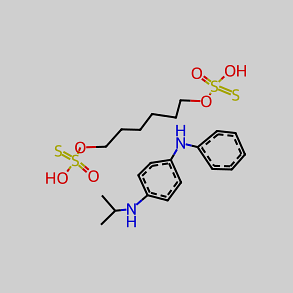 CC(C)Nc1ccc(Nc2ccccc2)cc1.O=S(O)(=S)OCCCCCCOS(=O)(O)=S